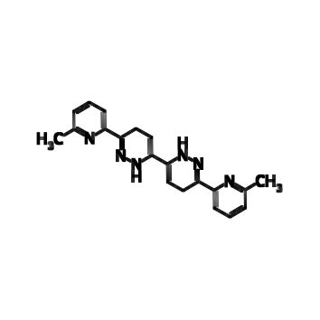 Cc1cccc(C2=NNC(C3=CCC(c4cccc(C)n4)=NN3)=CC2)n1